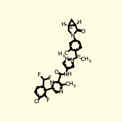 Cc1cc(N2C[C@H]3C[C@H]3C2=O)ccc1[C@H](C)n1cc(NC(=O)c2nc(-c3c(C(F)F)ccc(Cl)c3F)cnc2C)cn1